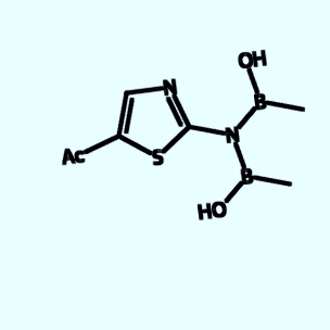 CB(O)N(B(C)O)c1ncc(C(C)=O)s1